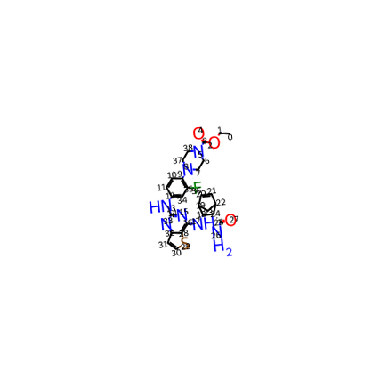 CCOC(=O)N1CCN(c2ccc(Nc3nc(N[C@@H]4C5C=CC(C5)[C@@H]4C(N)=O)c4sccc4n3)cc2F)CC1